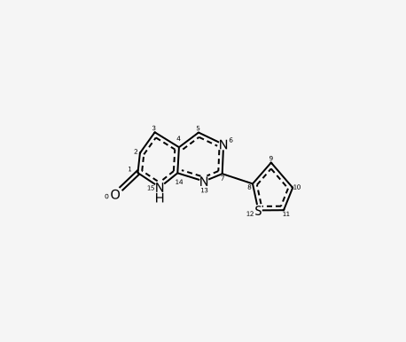 O=c1ccc2cnc(-c3cccs3)nc2[nH]1